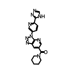 O=C(c1cnc2c(c1)nnn2-c1ccc(-c2nnc[nH]2)nc1)N1CCCCC1